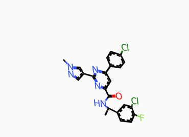 CC(NC(=O)c1cc(-c2ccc(Cl)cc2)nc(-c2cnn(C)c2)n1)c1ccc(F)c(Cl)c1